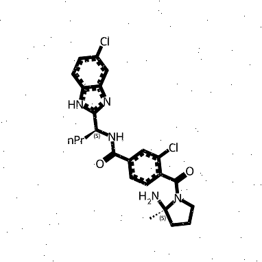 CCC[C@H](NC(=O)c1ccc(C(=O)N2CCC[C@@]2(C)N)c(Cl)c1)c1nc2cc(Cl)ccc2[nH]1